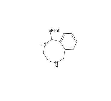 CCCCCC1NCCNCc2ccccc21